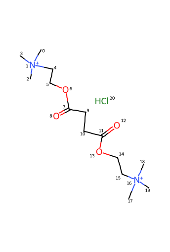 C[N+](C)(C)CCOC(=O)CCC(=O)OCC[N+](C)(C)C.Cl